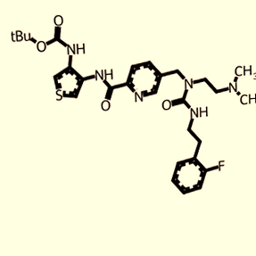 CN(C)CCN(Cc1ccc(C(=O)Nc2cscc2NC(=O)OC(C)(C)C)nc1)C(=O)NCCc1ccccc1F